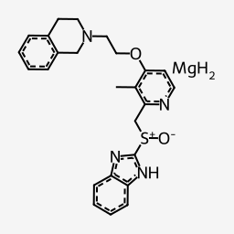 Cc1c(OCCN2CCc3ccccc3C2)ccnc1C[S+]([O-])c1nc2ccccc2[nH]1.[MgH2]